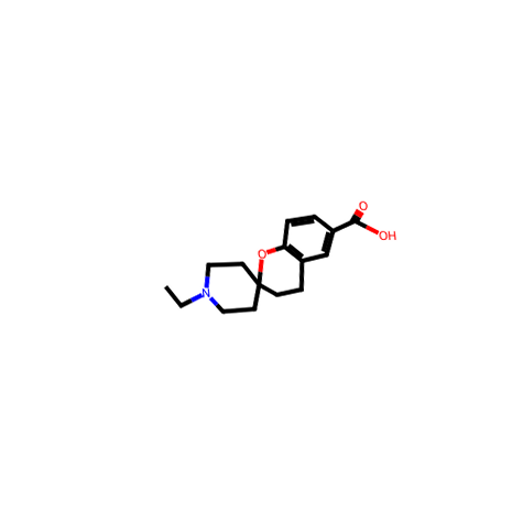 CCN1CCC2(CCc3cc(C(=O)O)ccc3O2)CC1